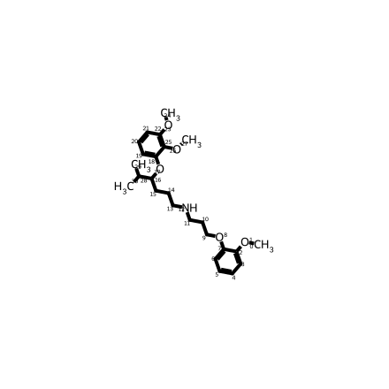 COc1ccccc1OCCCNCCCC(Oc1c[c]cc(OC)c1OC)C(C)C